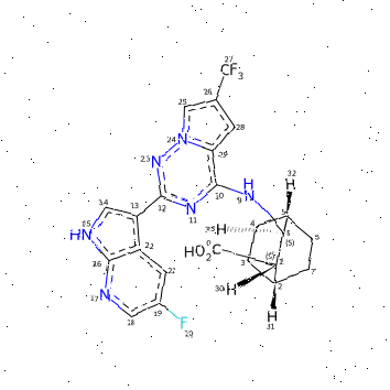 O=C(O)[C@H]1[C@H]2CC[C@H](CC2)[C@@H]1Nc1nc(-c2c[nH]c3ncc(F)cc23)nn2cc(C(F)(F)F)cc12